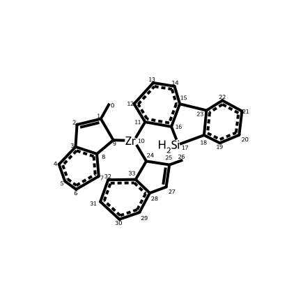 CC1=Cc2ccccc2[CH]1[Zr]([c]1cccc2c1[SiH2]c1ccccc1-2)[CH]1C(C)=Cc2ccccc21